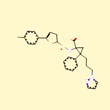 O=C(O)C1(NS(=O)(=O)C2CC=C(c3ccc(Cl)cc3)S2)CC1(CCCn1cccn1)c1ccccc1